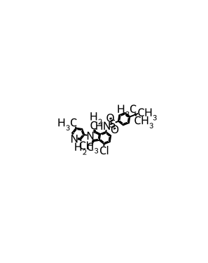 C=c1c2c(Cl)ccc(NS(=O)(=O)c3ccc(C(C)(C)C)cc3)c2c(=C)n1-c1cc(C)cnc1C